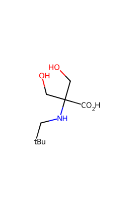 CC(C)(C)CNC(CO)(CO)C(=O)O